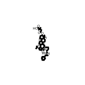 C=C(C)[C@@H]1CC[C@]2(C(=O)N3CCC[C@H]3c3ncc(-c4ccccc4)[nH]3)CC[C@]3(C)[C@H](CC[C@@H]4[C@@]5(C)CC[C@H](OC(=O)CC(C)(C)C(=O)O)C(C)(C)[C@@H]5CC[C@]43C)[C@@H]12